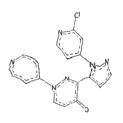 O=c1ccn(-c2ccncc2)nc1-c1ccnn1-c1ccnc(Cl)c1